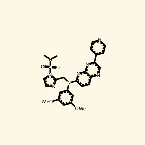 COc1cc(OC)cc(N(Cc2nccn2S(=O)(=O)N(C)C)c2ccc3ncc(-c4ccncc4)nc3n2)c1